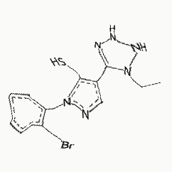 CCN1NNN=C1c1cnn(-c2ccccc2Br)c1S